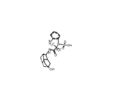 CC(C)(C(=O)NC1C2CC3CC1CC(O)(C3)C2)N(c1ccccc1Br)S(=O)(=O)O